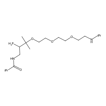 CC(C)NCCOCCOCCOC(C)(C)C(P)CNC(=O)C(C)C